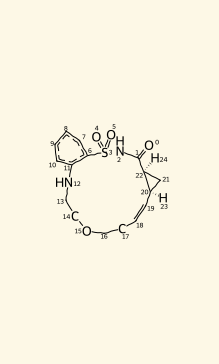 O=C1NS(=O)(=O)c2ccccc2NCCOCC/C=C\[C@@H]2C[C@H]12